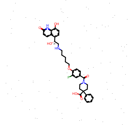 O=C(c1ccc(OCCCCCNC[C@H](O)c2ccc(O)c3[nH]c(=O)ccc23)c(F)c1)N1CCC(C(=O)O)(c2ccccc2)CC1